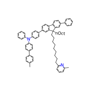 CCCCCCCCC1(CCCCCCCCCc2cccc(C)n2)c2cc(-c3ccccc3)ccc2-c2ccc(-c3ccc(N(c4ccccc4)c4ccc(-c5ccc(C)cc5)cc4)cc3)cc21